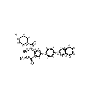 COC(=O)c1cc(-c2ccc(-c3nc4ccccc4o3)cc2)sc1N(C(=O)[C@H]1CC[C@H](C)CC1)C(C)C